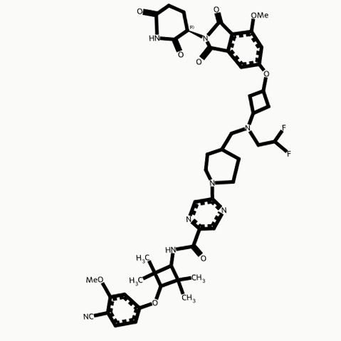 COc1cc(OC2C(C)(C)C(NC(=O)c3cnc(N4CCC(CN(CC(F)F)C5CC(Oc6cc(OC)c7c(c6)C(=O)N([C@@H]6CCC(=O)NC6=O)C7=O)C5)CC4)cn3)C2(C)C)ccc1C#N